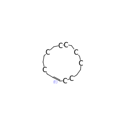 C1=C/CCCCCCCCCCCCCCCC/1